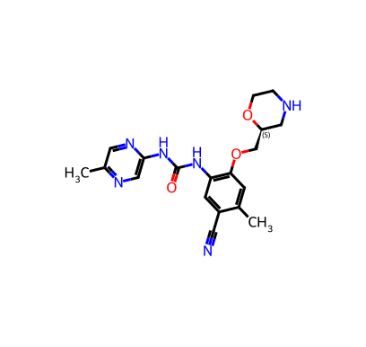 Cc1cnc(NC(=O)Nc2cc(C#N)c(C)cc2OC[C@@H]2CNCCO2)cn1